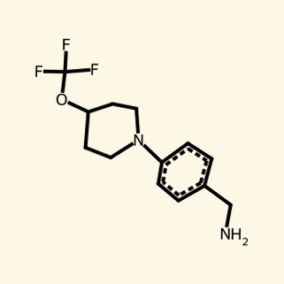 NCc1ccc(N2CCC(OC(F)(F)F)CC2)cc1